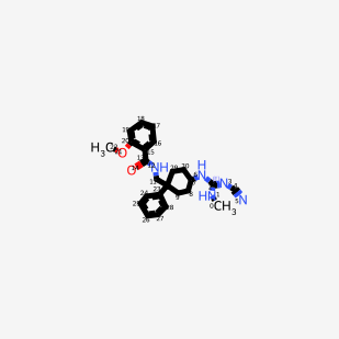 CN/C(=N\C#N)NC1CCC(CNC(=O)c2ccccc2OC)(c2ccccc2)CC1